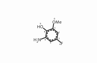 COc1cc(F)cc(N)c1O